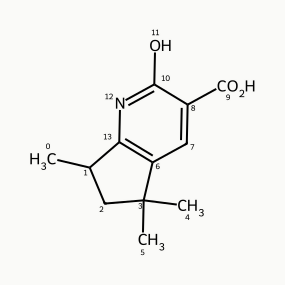 CC1CC(C)(C)c2cc(C(=O)O)c(O)nc21